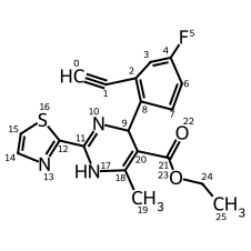 C#Cc1cc(F)ccc1C1N=C(c2nccs2)NC(C)=C1C(=O)OCC